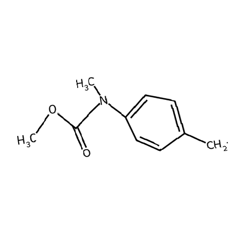 [CH2]c1ccc(N(C)C(=O)OC)cc1